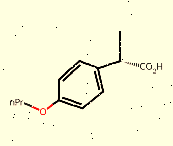 CCCOc1ccc([C@H](C)C(=O)O)cc1